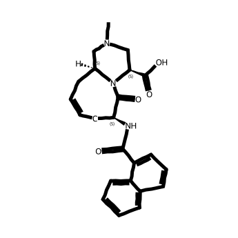 CN1C[C@@H]2CC=CC[C@H](NC(=O)c3cccc4ccccc34)C(=O)N2[C@H](C(=O)O)C1